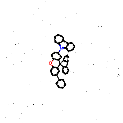 c1ccc(-c2ccc3c(c2)C2(c4cc(-n5c6ccccc6c6ccccc65)ccc4O3)c3ccccc3-c3ccccc32)cc1